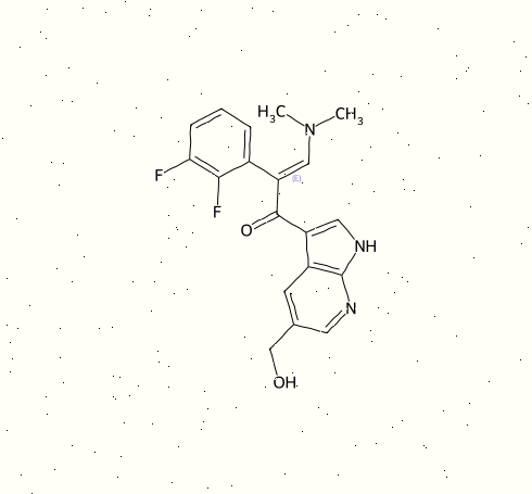 CN(C)/C=C(/C(=O)c1c[nH]c2ncc(CO)cc12)c1cccc(F)c1F